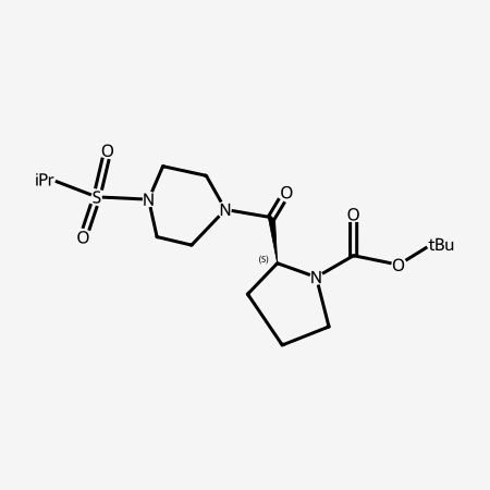 CC(C)S(=O)(=O)N1CCN(C(=O)[C@@H]2CCCN2C(=O)OC(C)(C)C)CC1